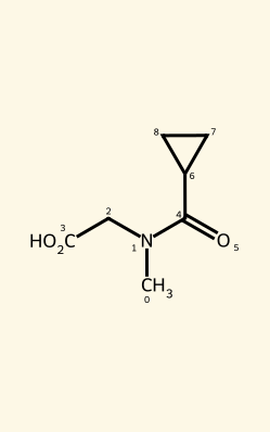 CN(CC(=O)O)C(=O)C1CC1